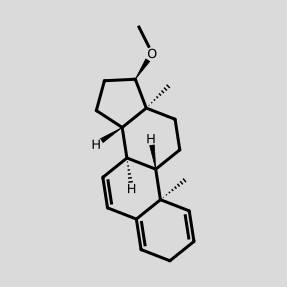 CO[C@@H]1CC[C@H]2[C@@H]3C=CC4=CCC=C[C@]4(C)[C@H]3CC[C@]12C